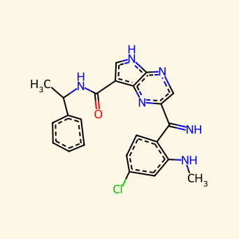 CNc1cc(Cl)ccc1C(=N)c1cnc2[nH]cc(C(=O)NC(C)c3ccccc3)c2n1